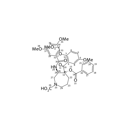 COCOc1ccc(OC)cc1C(=O)[C@@]1(OC(=O)c2ccccc2)CCCN(C(=O)O)C[C@H]1NC(=O)c1cc(OC)cc(OC)c1